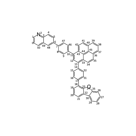 c1cnc2ccc(-c3ccc(-c4cc(-c5ccc(-c6cccc7c6oc6ccccc67)cc5)c5ccc6cccc7ccc4c5c76)cc3)cc2c1